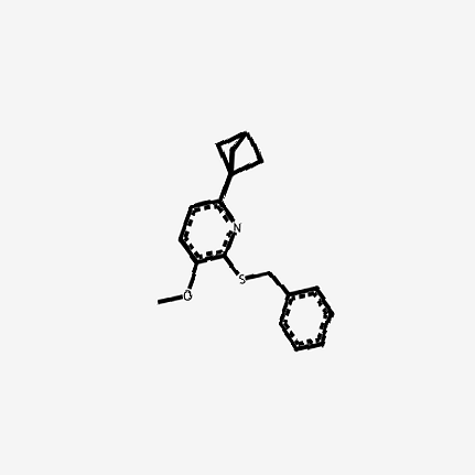 COc1ccc(C23CC(C2)C3)nc1SCc1ccccc1